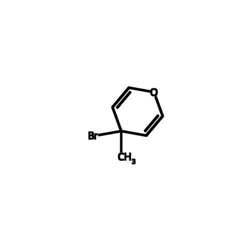 CC1(Br)C=COC=C1